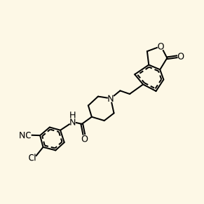 N#Cc1cc(NC(=O)C2CCN(CCc3ccc4c(c3)COC4=O)CC2)ccc1Cl